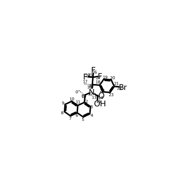 C[C@@H](c1cccc2ccccc12)N(C(=O)O)[C@](C)(c1ccc(Br)cc1)C(F)(F)F